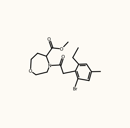 CCc1cc(C)cc(Br)c1CC(=O)N1CCOCCC1C(=O)OC